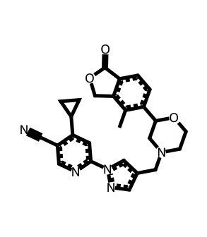 Cc1c(C2CN(Cc3cnn(-c4cc(C5CC5)c(C#N)cn4)c3)CCO2)ccc2c1COC2=O